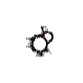 CC(C)C[C@@H]1NC(=O)[C@@H]2CCCN2C(=O)[C@@H]2CSCc3cc(cc(c3)OCCCCCCO/N=C/C(=O)N[C@@H](CCCCCN)C(=O)N2)CSC[C@@H](C(N)=O)NC(=O)[C@H](CCC(=O)O)NC(=O)[C@H]([C@@H](C)O)NC(=O)[C@@H]2CCCN2C(=O)[C@H]([C@@H](C)O)NC(=O)[C@H](CC(=O)O)NC1=O